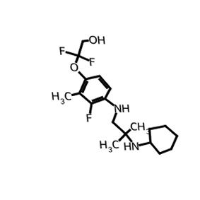 Cc1c(OC(F)(F)CO)ccc(NCC(C)(C)NC2CCCCC2)c1F